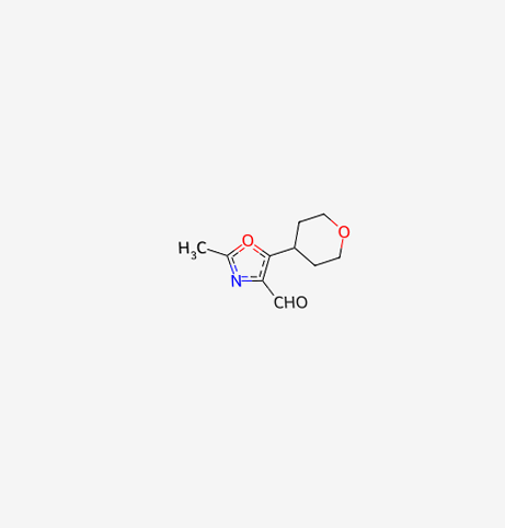 Cc1nc(C=O)c(C2CCOCC2)o1